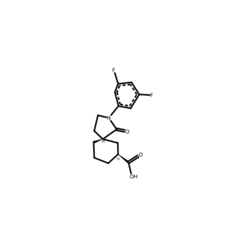 O=C(O)[C@H]1CCC[C@]2(CCN(c3cc(F)cc(F)c3)C2=O)C1